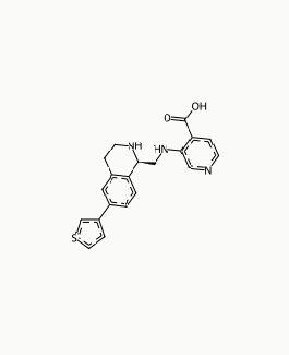 O=C(O)c1ccncc1NC[C@@H]1NCCc2cc(-c3ccsc3)ccc21